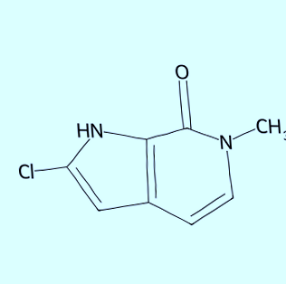 Cn1ccc2cc(Cl)[nH]c2c1=O